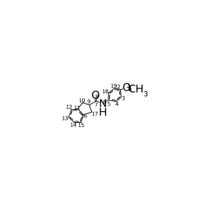 COc1ccc(NC(=O)C2Cc3ccccc3C2)cc1